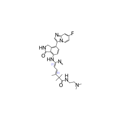 C=N/C(=C\C=C(/C)C(C)(C)C(=O)NCCN(C)C)Nc1ccc(-c2cnc3cc(F)ccn23)c2c1C(=O)NC2